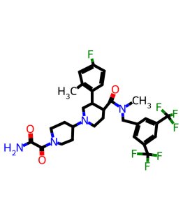 Cc1cc(F)ccc1C1CN(C2CCN(C(=O)C(N)=O)CC2)CCC1C(=O)N(C)Cc1cc(C(F)(F)F)cc(C(F)(F)F)c1